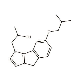 CC(C)COc1ccc2c(c1)-c1c(ccn1CC(C)O)C2